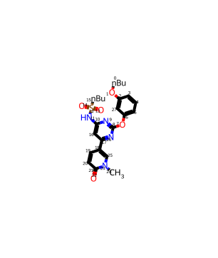 CCCCOc1cccc(Oc2nc(NS(=O)(=O)CCCC)cc(-c3ccc(=O)n(C)c3)n2)c1